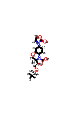 CC(C)(C)[Si](C)(C)OC[C@@H]1OC(=O)N2c3ccc(-n4ccoc4=O)cc3OC[C@@H]12